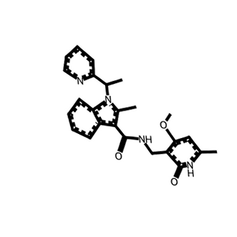 COc1cc(C)[nH]c(=O)c1CNC(=O)c1c(C)n(C(C)c2ccccn2)c2ccccc12